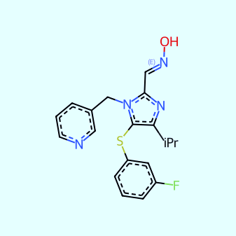 CC(C)c1nc(/C=N/O)n(Cc2cccnc2)c1Sc1cccc(F)c1